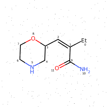 CCC(=CC1CNCCO1)C(N)=O